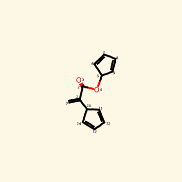 C=C(C(=O)OC1C=CC=C1)C1C=CC=C1